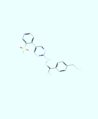 CC(=NNc1ncc(-c2ccccc2S(=O)(=O)C(C)C)cn1)c1ccc(CN)cc1